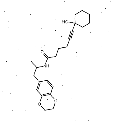 CC(Cc1ccc2c(c1)OCCO2)NC(=O)CCCC#CC1(O)CCCCC1